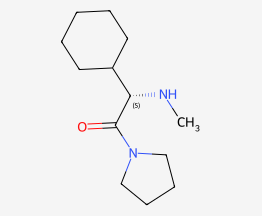 CN[C@H](C(=O)N1CCCC1)C1CCCCC1